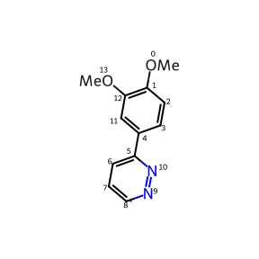 COc1ccc(-c2cc[c]nn2)cc1OC